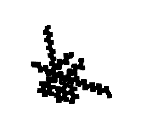 CCCCCCCCCCC(OCCCC)=C(OCCCC)C(OCc1ccccc1)OC(OCc1ccccc1)C(OCCCC)=C(CCCCCCCCCC)OCCCC